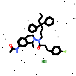 CCCC(CCCN(C(=O)CCc1ccc(F)cc1)N1CCc2ccc(NC(C)=O)cc2C1C)(c1ccccc1)c1ccccc1.Cl